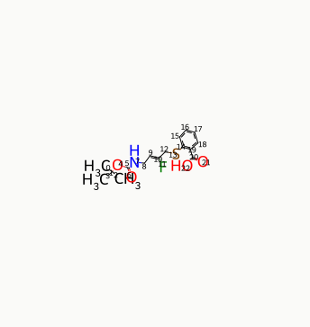 CC(C)(C)OC(=O)NCC=C(F)CSc1ccccc1C(=O)O